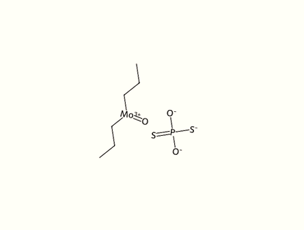 CC[CH2][Mo+3](=[O])[CH2]CC.[O-]P([O-])(=S)[S-]